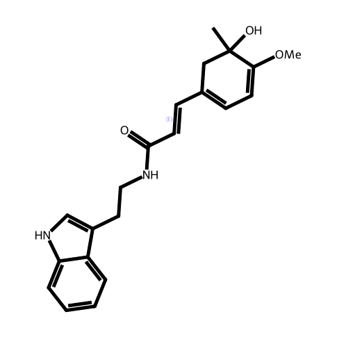 COC1=CC=C(/C=C/C(=O)NCCc2c[nH]c3ccccc23)CC1(C)O